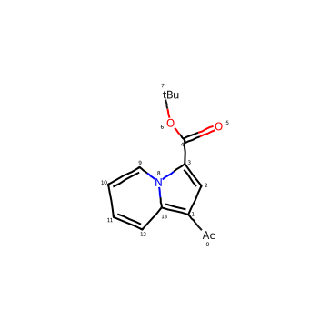 CC(=O)c1cc(C(=O)OC(C)(C)C)n2ccccc12